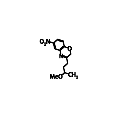 COC(C)CCC1=Nc2cc([N+](=O)[O-])ccc2OC1